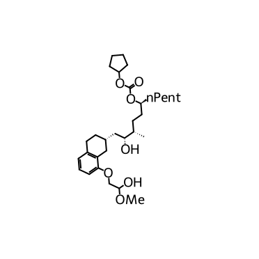 CCCCC[C@@H](CC[C@H](C)[C@H](O)C[C@H]1CCc2cccc(OCC(O)OC)c2C1)OC(=O)OC1CCCC1